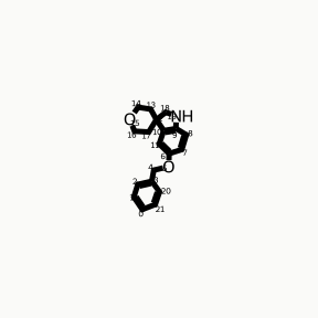 c1ccc(COc2ccc3c(c2)C2(CCOCC2)CN3)cc1